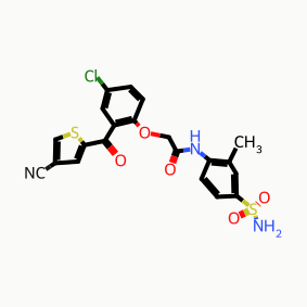 Cc1cc(S(N)(=O)=O)ccc1NC(=O)COc1ccc(Cl)cc1C(=O)c1cc(C#N)cs1